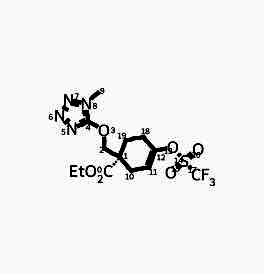 CCOC(=O)[C@@]1(COc2nnnn2C)CC=C(OS(=O)(=O)C(F)(F)F)CC1